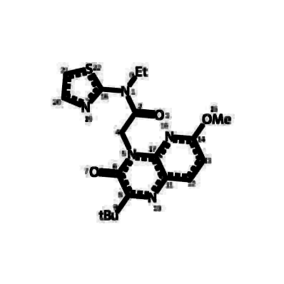 CCN(C(=O)Cn1c(=O)c(C(C)(C)C)nc2ccc(OC)nc21)c1nccs1